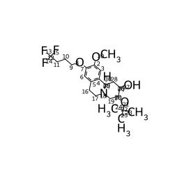 COc1cc2c(cc1OCCCC(F)(F)F)CCN1C[C@@H](OC(C)(C)C)[C@H](O)C[C@H]21